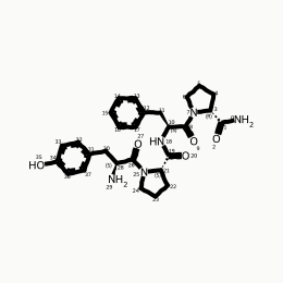 NC(=O)[C@H]1CCCN1C(=O)[C@H](Cc1ccccc1)NC(=O)[C@@H]1CCCN1C(=O)[C@@H](N)Cc1ccc(O)cc1